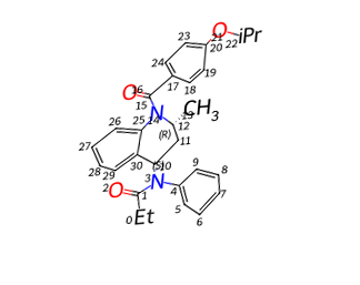 CCC(=O)N(c1ccccc1)[C@H]1C[C@@H](C)N(C(=O)c2ccc(OC(C)C)cc2)c2ccccc21